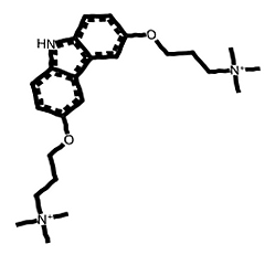 C[N+](C)(C)CCCOc1ccc2[nH]c3ccc(OCCC[N+](C)(C)C)cc3c2c1